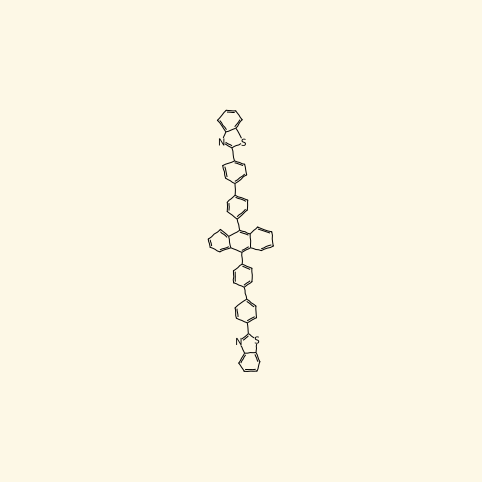 c1ccc2sc(-c3ccc(-c4ccc(-c5c6ccccc6c(-c6ccc(-c7ccc(-c8nc9ccccc9s8)cc7)cc6)c6ccccc56)cc4)cc3)nc2c1